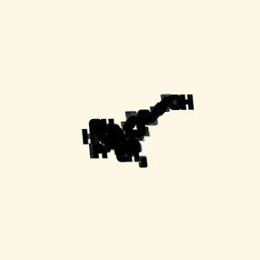 CC(C)[C@H](C(=O)NO)N(C)S(=O)(=O)c1ccc(OCC#CCO)cc1